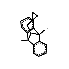 CCC12c3ccccc3C(C)(c3ccccc31)N2CC1CC1